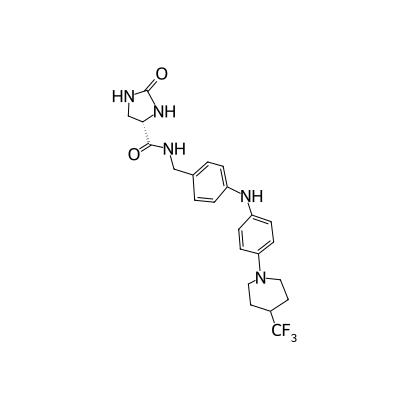 O=C1NC[C@@H](C(=O)NCc2ccc(Nc3ccc(N4CCC(C(F)(F)F)CC4)cc3)cc2)N1